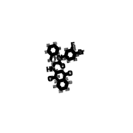 O=C1C=C(N[C@H](Cc2ccccc2)C(=O)Nc2ccc(Br)c(F)c2)C(=O)c2ccccc21